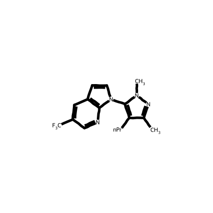 [CH2]CCc1c(C)nn(C)c1-n1ccc2cc(C(F)(F)F)cnc21